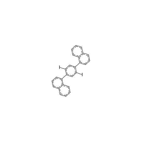 Ic1cc(-c2cccc3ccccc23)c(I)cc1-c1cccc2ccccc12